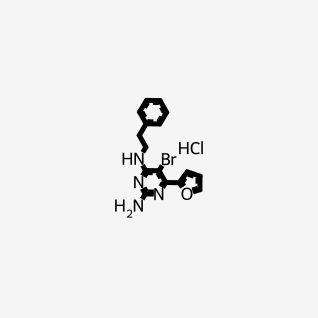 Cl.Nc1nc(NCCc2ccccc2)c(Br)c(-c2ccco2)n1